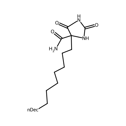 CCCCCCCCCCCCCCCCCC1(C(N)=O)NC(=O)NC1=O